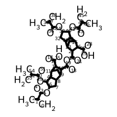 C=C(C)C(=O)OC1CC2C3CC(C(C(=O)O)C3C(=O)OC(=O)C3C4CC(C3C(=O)O)C3C4CC(OC(=O)C(=C)C)C3OC(=O)C(=C)C)C2C1OC(=O)C(=C)C